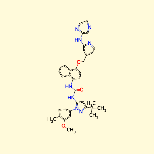 COc1cc(-n2nc(C(C)(C)C)cc2NC(=O)Nc2ccc(OCc3ccnc(Nc4cnccn4)c3)c3ccccc23)ccc1C